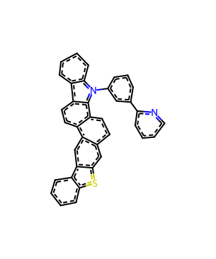 c1ccc(-c2cccc(-n3c4ccccc4c4ccc5c6cc7c(cc6ccc5c43)sc3ccccc37)c2)nc1